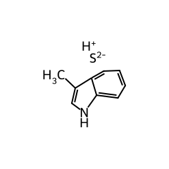 Cc1c[nH]c2ccccc12.[H+].[S-2]